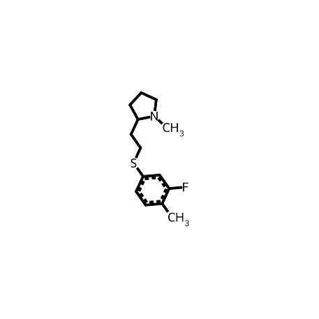 Cc1ccc(SCCC2CCCN2C)cc1F